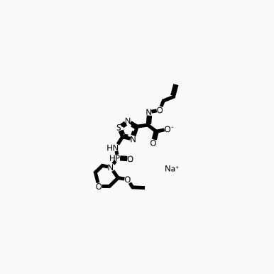 C=CCON=C(C(=O)[O-])c1nsc(N[PH](=O)N2CCOCC2OCC)n1.[Na+]